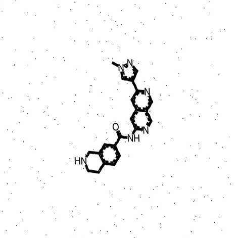 Cn1cc(-c2cc3cc(NC(=O)c4ccc5c(c4)CNCC5)ncc3cn2)cn1